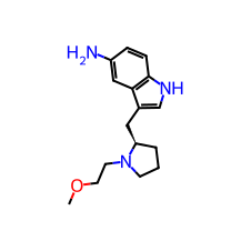 COCCN1CCC[C@@H]1Cc1c[nH]c2ccc(N)cc12